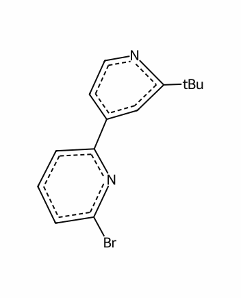 CC(C)(C)c1cc(-c2cccc(Br)n2)ccn1